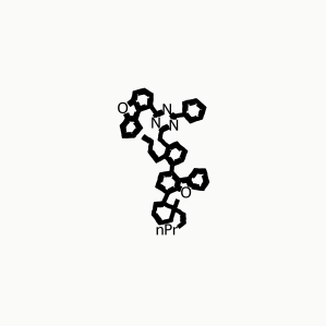 C=C/C=C\c1c(Cc2nc(-c3ccccc3)nc(-c3cccc4oc5ccccc5c34)n2)cccc1-c1ccc(C2=CC=CCC2(C)/C=C\CCC)c2oc3ccccc3c12